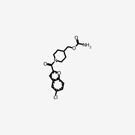 NC(=O)OCC1CCN(C(=O)c2cc3cc(Cl)ccc3o2)CC1